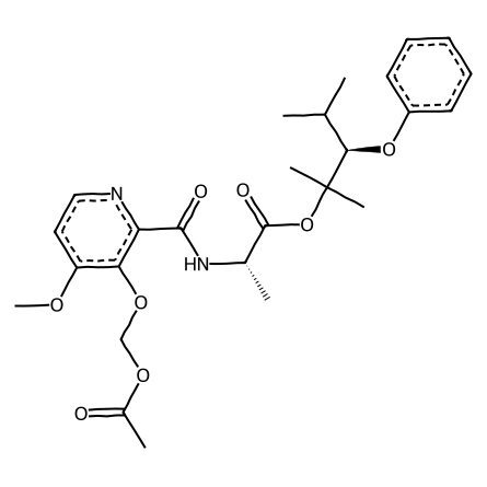 COc1ccnc(C(=O)N[C@@H](C)C(=O)OC(C)(C)[C@H](Oc2ccccc2)C(C)C)c1OCOC(C)=O